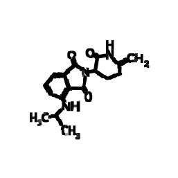 C=C1CCC(N2C(=O)c3cccc(NC(C)C)c3C2=O)C(=O)N1